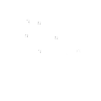 Cn1nc2nc3c(nc2n1)-c1ccccc1C3=O